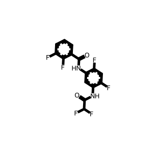 O=C(Nc1cc(NC(=O)C(F)F)c(F)cc1F)c1cccc(F)c1F